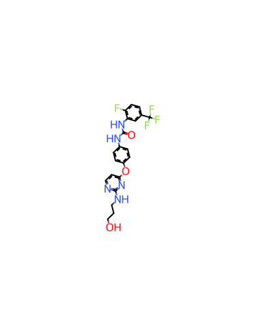 O=C(Nc1ccc(Oc2ccnc(NCCCO)n2)cc1)Nc1cc(C(F)(F)F)ccc1F